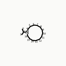 CC(C)N1CCCCCCCCCCCCC1